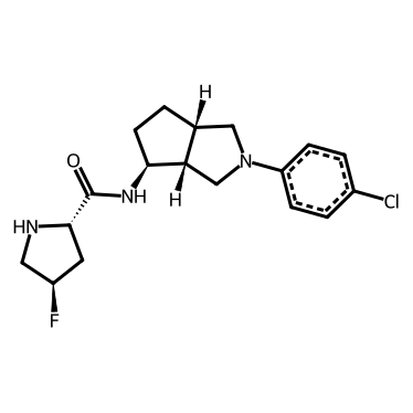 O=C(N[C@H]1CC[C@@H]2CN(c3ccc(Cl)cc3)C[C@@H]21)[C@@H]1C[C@@H](F)CN1